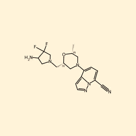 C[C@@H]1CN(c2ccc(C#N)n3nccc23)C[C@H](CN2CC(N)C(F)(F)C2)O1